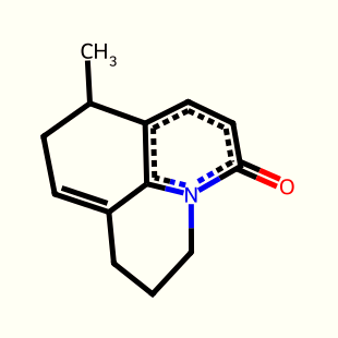 CC1CC=C2CCCn3c2c1ccc3=O